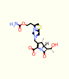 C[C@@H](O)[C@H]1C(=O)N2C(C(=O)[O-])=C(Cn3cc4scc(CCOC(N)=O)[n+]4c3)[C@H](C)[C@H]12